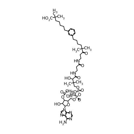 CC(C)(CCCCCc1cccc(CCCCC(C)(C)C(=O)CCNC(=O)CCNC(=O)C(O)C(C)(C)COP(=O)(O)OP(=O)(O)OCC2OC(n3cnc4c(N)ncnc43)C(O)C2OP(=O)(O)O)c1)C(=O)O